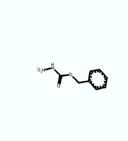 O=C(N[N+](=O)[O-])OCc1ccccc1